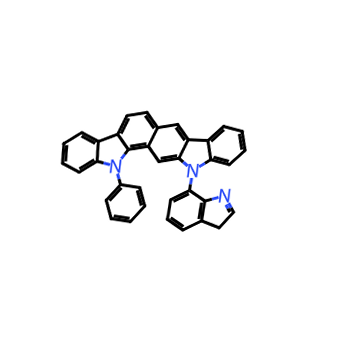 C1=Nc2c(cccc2-n2c3ccccc3c3cc4ccc5c6ccccc6n(-c6ccccc6)c5c4cc32)C1